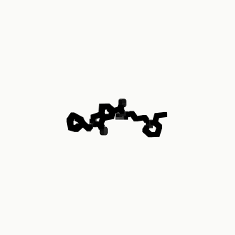 CCC1CCCCN1CCCNC(=O)c1ccc2c(c1)C(=O)N(Cc1ccccc1)C2